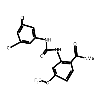 CNC(=O)c1ccc(OC(F)(F)F)cc1NC(=O)Nc1cc(Cl)cc(Cl)c1